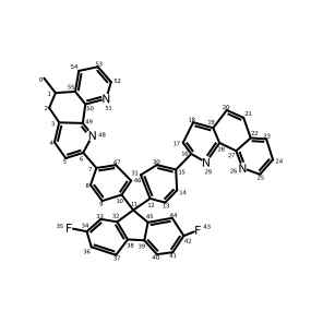 CC1Cc2ccc(-c3ccc(C4(c5ccc(-c6ccc7ccc8cccnc8c7n6)cc5)c5cc(F)ccc5-c5ccc(F)cc54)cc3)nc2-c2ncccc21